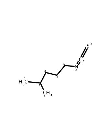 CC(C)CCCN=C=S